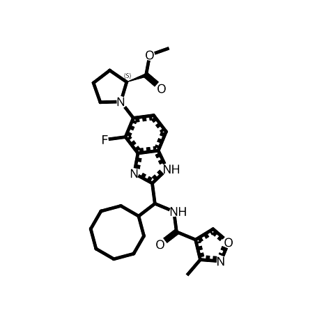 COC(=O)[C@@H]1CCCN1c1ccc2[nH]c(C(NC(=O)c3conc3C)C3CCCCCCC3)nc2c1F